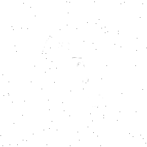 CC1(C)[C@@H](CCOCc2ccccc2)C[C@H]1CN1CCCCC1